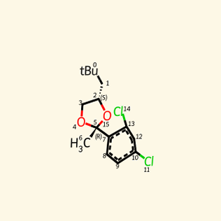 CC(C)(C)C[C@H]1CO[C@@](C)(c2ccc(Cl)cc2Cl)O1